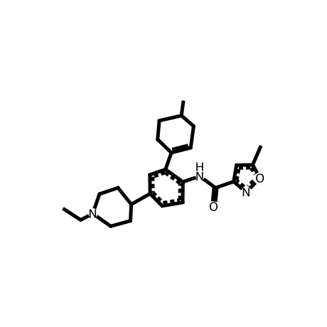 CCN1CCC(c2ccc(NC(=O)c3cc(C)on3)c(C3=CCC(C)CC3)c2)CC1